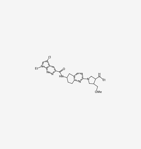 CCNC1CN(c2ccc3c(n2)CCC(NC(=O)c2cc4c(Cl)cn(CC)c4nn2)C3)CC1COC